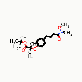 CON(C)C(=O)CCCc1ccc(OC(C)(C)C(=O)OC(C)(C)C)cc1